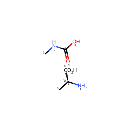 CNC(=O)O.C[C@H](N)C(=O)O